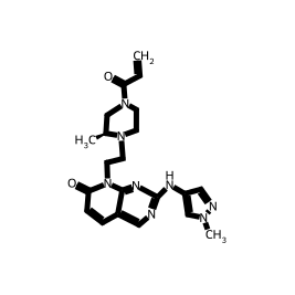 C=CC(=O)N1CCN(CCn2c(=O)ccc3cnc(Nc4cnn(C)c4)nc32)[C@@H](C)C1